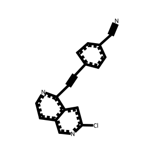 N#Cc1ccc(C#Cc2nccc3cnc(Cl)cc23)cc1